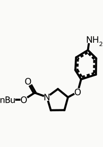 CCCCOC(=O)N1CCC(Oc2ccc(N)cc2)C1